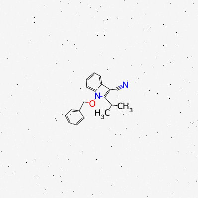 CC(C)c1c(C#N)c2ccccc2n1OCc1ccccc1